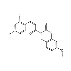 COc1ccc2cc(C(=O)/C=C\c3ccc(Cl)cc3Cl)c(=O)sc2c1